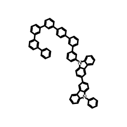 c1ccc(-c2cccc(-c3cccc(-c4cccc(-c5ccc(-c6cccc(-c7cccc(-n8c9ccccc9c9cc(-c%10ccc%11c(c%10)c%10ccccc%10n%11-c%10ccccc%10)ccc98)c7)c6)cc5)c4)c3)c2)cc1